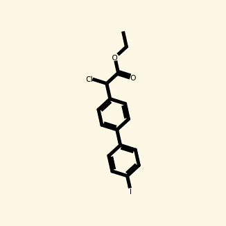 CCOC(=O)C(Cl)c1ccc(-c2ccc(I)cc2)cc1